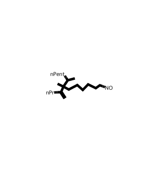 C=C(CCC)C(C)(CCCCCCN=O)C(C)CCCCC